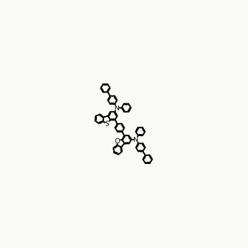 c1ccc(-c2ccc(N(c3ccccc3)c3cc(-c4ccc(-c5cc(N(c6ccccc6)c6ccc(-c7ccccc7)cc6)cc6c5sc5ccccc56)cc4)c4oc5ccccc5c4c3)cc2)cc1